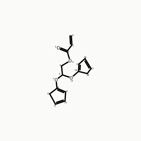 C=CC(=O)OCC(OC1=CC=CC1)OC1=CC=CC1